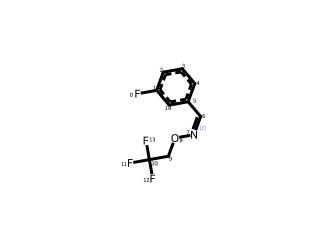 Fc1cccc(/[C]=N\OCC(F)(F)F)c1